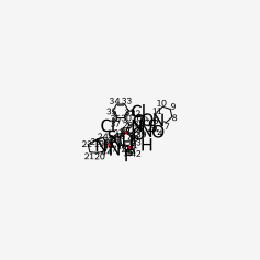 O=C(NS(=O)(=O)N1CCCCC1)c1cc(F)c2nc(N3C4CCC3CC(NCc3c(-c5c(Cl)cccc5Cl)noc3C3CC3)C4)sc2c1